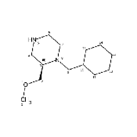 COC[C@H]1CNCCN1CC1CCCCC1